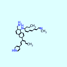 C=C/C=C(\C=C\C1=CCNC=C1)C1C=CC2=C(C=CC(CN)C2NC(\C=C/C=C/C=C/C=N\C)CCC)C1